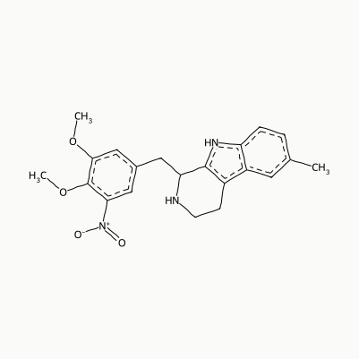 COc1cc(CC2NCCc3c2[nH]c2ccc(C)cc32)cc([N+](=O)[O-])c1OC